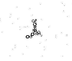 C=CC(=O)N1CCC2(CC1)CC(n1cc(C(N)=O)c(-c3ccc(Oc4ccccc4)cc3)n1)C2